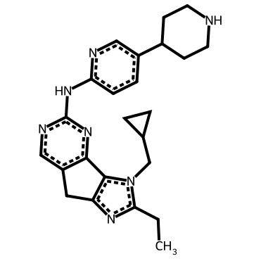 CCc1nc2c(n1CC1CC1)-c1nc(Nc3ccc(C4CCNCC4)cn3)ncc1C2